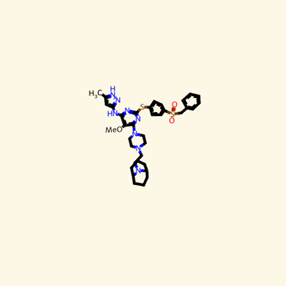 COc1c(Nc2cc(C)[nH]n2)nc(Sc2ccc(S(=O)(=O)Cc3ccccc3)cc2)nc1N1CCN(CCN2C3CCCC2CCC3)CC1